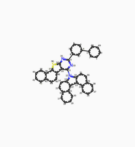 c1ccc(-c2cccc(-c3nc(-n4c5ccc6ccccc6c5c5c6ccccc6ccc54)c4c(n3)sc3c5ccccc5ccc34)c2)cc1